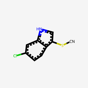 N#CSc1c[nH]c2cc(Cl)ccc12